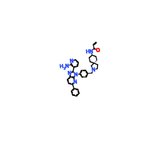 C=CC(=O)N[C@H]1CC[C@@]2(CCN(Cc3ccc(-n4c(-c5cccnc5N)nc5ccc(-c6ccccc6)nc54)cc3)C2)CC1